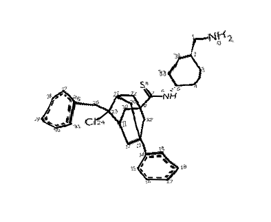 NC[C@H]1CC[C@H](NC(=S)C23CC4CC(c5ccccc5)(CC(C2)C4(Cl)Cc2ccccc2)C3)CC1